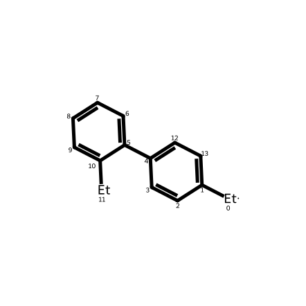 C[CH]c1ccc(-c2ccccc2CC)cc1